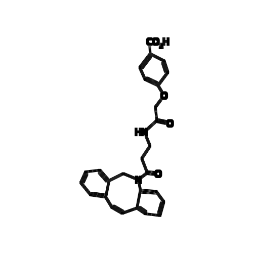 O=C(COc1ccc(C(=O)O)cc1)NCCC(=O)N1Cc2ccccc2/C=C\c2ccccc21